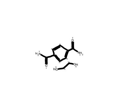 NC(=O)c1ccc(C(N)=O)cc1.OCCO